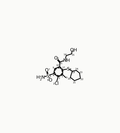 Cc1c(Cl)c(S(N)(=O)=O)cc(C(=O)NCCO)c1SC1CCCCC1